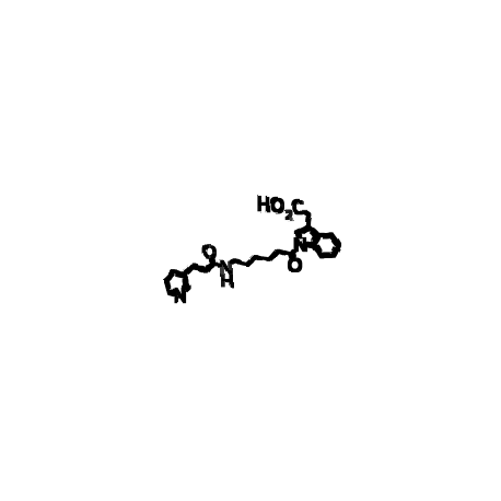 O=C(O)Cc1cn(C(=O)CCCCCNC(=O)/C=C/c2cccnc2)c2ccccc12